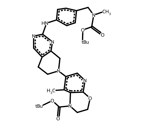 Cc1c(N2CCc3cnc(Nc4ccc(CN(C)C(=O)OC(C)(C)C)cc4)nc3C2)cnc2c1N(C(=O)OC(C)(C)C)CCO2